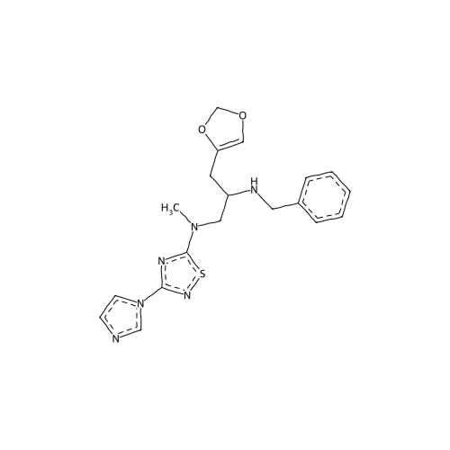 CN(CC(CC1=COCO1)NCc1ccccc1)c1nc(-n2ccnc2)ns1